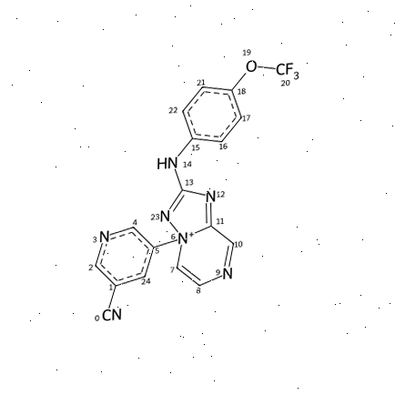 N#Cc1cncc([N+]23C=CN=CC2=NC(Nc2ccc(OC(F)(F)F)cc2)=N3)c1